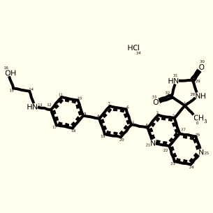 CC1(c2cc(-c3ccc(-c4ccc(NCCO)cc4)cc3)nc3ccncc23)NC(=O)NC1=O.Cl